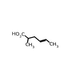 CC=CCC(C)C(=O)O